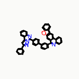 c1ccc(-c2cc3c4ccccc4nc(-c4ccc(-c5cccc(-c6nc7ccccc7c7cc8c(cc67)oc6ccccc68)c5)cc4)n3n2)cc1